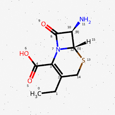 CCC1=C(C(=O)O)N2C(=O)[C@@H](N)[C@@H]2SC1